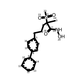 CC(CCCc1ccc(-c2ccccc2)cc1)(C(=O)NO)S(C)(=O)=O